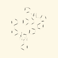 c1ccc(-c2cccc(-c3nc(-c4ccccc4)nc(-c4ccc(-c5ccccc5-c5cc6ccccc6c6c5c(-c5ccccc5)nn6-c5ccccc5)cc4)n3)c2)cc1